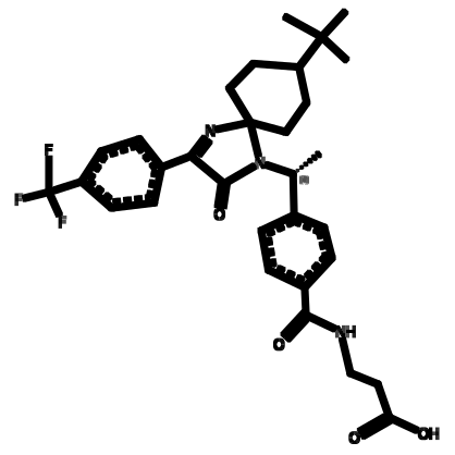 C[C@H](c1ccc(C(=O)NCCC(=O)O)cc1)N1C(=O)C(c2ccc(C(F)(F)F)cc2)=NC12CCC(C(C)(C)C)CC2